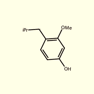 COc1cc(O)ccc1[CH]C(C)C